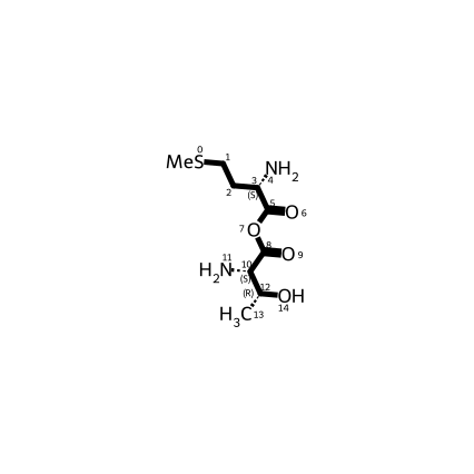 CSCC[C@H](N)C(=O)OC(=O)[C@@H](N)[C@@H](C)O